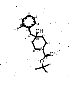 CC(C)(C)OC(=O)N1CCC(O)(Cc2ccccc2F)CC1